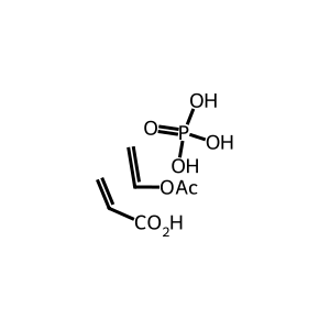 C=CC(=O)O.C=COC(C)=O.O=P(O)(O)O